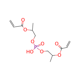 C=CC(=O)OC(C)COP(=O)(O)OCC(C)OC(=O)C=C